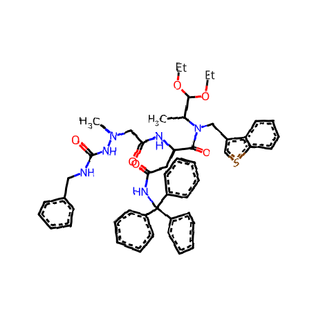 CCOC(OCC)C(C)N(Cc1csc2ccccc12)C(=O)C(CC(=O)NC(c1ccccc1)(c1ccccc1)c1ccccc1)NC(=O)CN(C)NC(=O)NCc1ccccc1